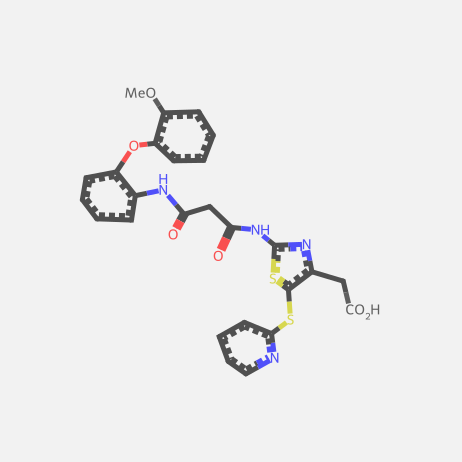 COc1ccccc1Oc1ccccc1NC(=O)CC(=O)Nc1nc(CC(=O)O)c(Sc2ccccn2)s1